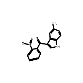 Cc1ccc2[nH]cc(C(=O)c3ccccc3[N+](=O)[O-])c2c1